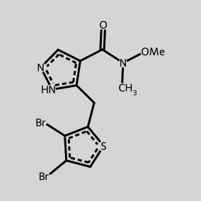 CON(C)C(=O)c1cn[nH]c1Cc1scc(Br)c1Br